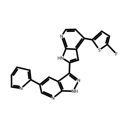 Fc1ccc(-c2ccnc3[nH]c(-c4n[nH]c5ncc(-c6ccccn6)cc45)cc23)s1